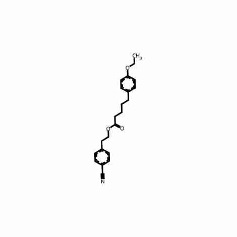 CCOc1ccc(CCCCC(=O)OCCc2ccc(C#N)cc2)cc1